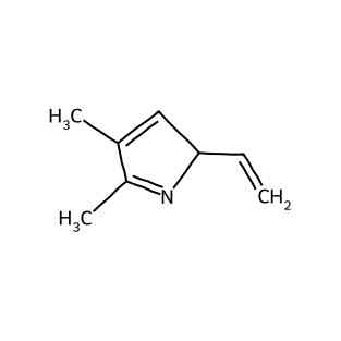 C=CC1C=C(C)C(C)=N1